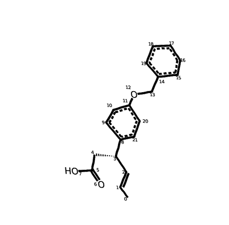 CC=C[C@H](CC(=O)O)c1ccc(OCc2ccccc2)cc1